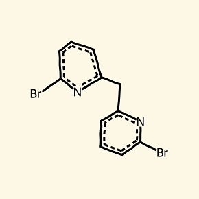 Brc1cccc(Cc2cccc(Br)n2)n1